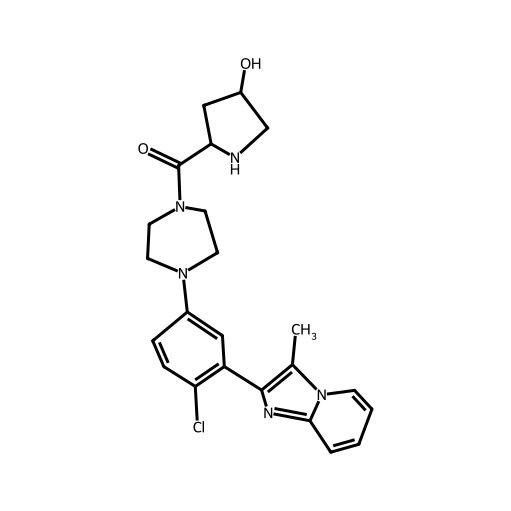 Cc1c(-c2cc(N3CCN(C(=O)C4CC(O)CN4)CC3)ccc2Cl)nc2ccccn12